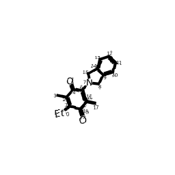 CCC1=C(C)C(=O)C(N2Cc3ccccc3C2)=C(C)C1=O